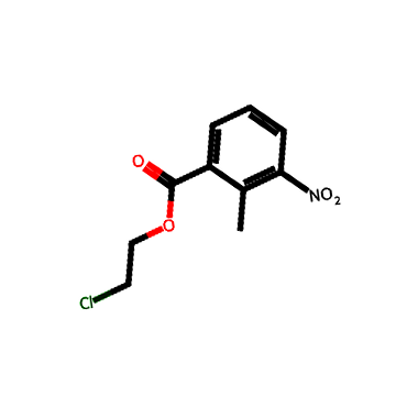 Cc1c(C(=O)OCCCl)cccc1[N+](=O)[O-]